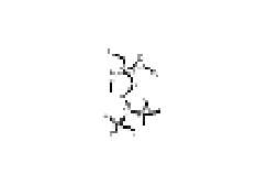 CC[Si](CCN([Si](C)(C)C)[Si](C)(C)C)(OC)OC